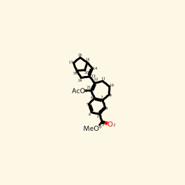 COC(=O)c1ccc2c(c1)CCCC(C1=CC3CCC(C1)C3)=C2OC(C)=O